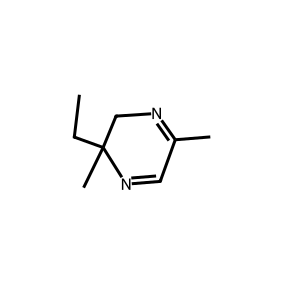 CCC1(C)CN=C(C)C=N1